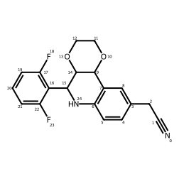 N#CCc1ccc2c(c1)C1OCCOC1C(c1c(F)cccc1F)N2